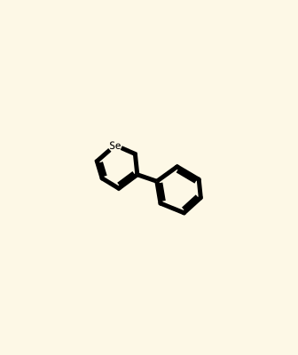 C1=C[Se]CC(c2ccccc2)=C1